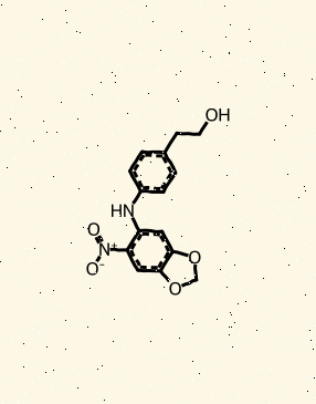 O=[N+]([O-])c1cc2c(cc1Nc1ccc(CCO)cc1)OCO2